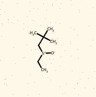 CC[S+]([O-])CC(C)(C)C